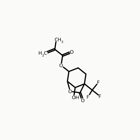 C=C(C)C(=O)OC1CCC2(C(F)(F)F)C(=O)OC1C2O